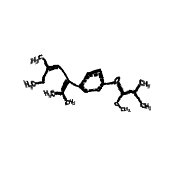 CC/C(C)=C\C(=C(C)C)c1ccc(OC(OC)C(C)C)cc1